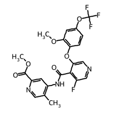 COC(=O)c1cc(NC(=O)c2c(F)cncc2Oc2ccc(OC(F)(F)F)cc2OC)c(C)cn1